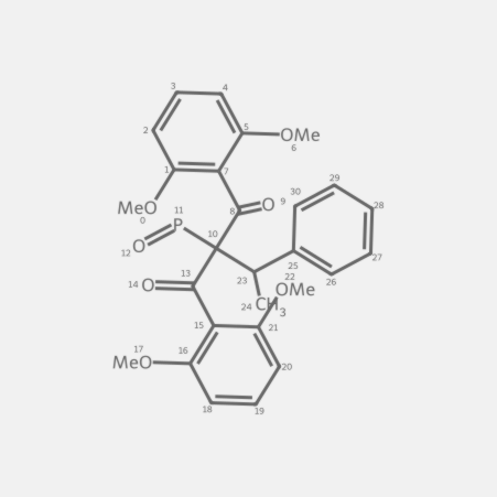 COc1cccc(OC)c1C(=O)C(P=O)(C(=O)c1c(OC)cccc1OC)C(C)c1ccccc1